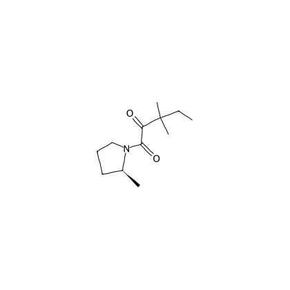 CCC(C)(C)C(=O)C(=O)N1CCC[C@@H]1C